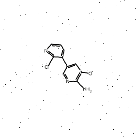 Nc1ncc(-c2cccnc2Cl)cc1Cl